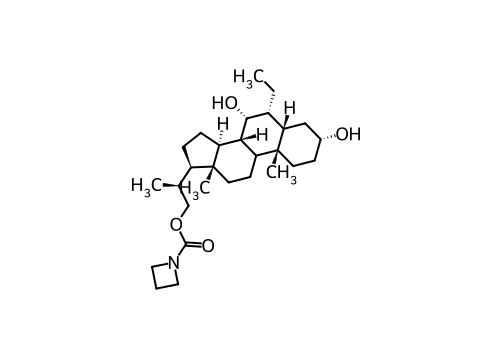 CC[C@H]1[C@@H](O)[C@@H]2C(CC[C@]3(C)[C@@H]([C@H](C)COC(=O)N4CCC4)CC[C@@H]23)[C@@]2(C)CC[C@@H](O)C[C@@H]12